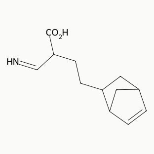 N=CC(CCC1CC2C=CC1C2)C(=O)O